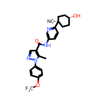 Cc1c(C(=O)Nc2ccc([C@]3(C#N)CC[C@@H](O)CC3)nc2)cnn1-c1ccc(OC(F)(F)F)cc1